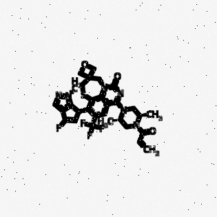 C=CC(=O)N1C[C@H](C)N(c2nc(=O)n3c4c(c(C5C=C(F)c6cnn(C)c65)c(C(F)(F)F)cc24)SCC2(COC2)C3)C[C@H]1C